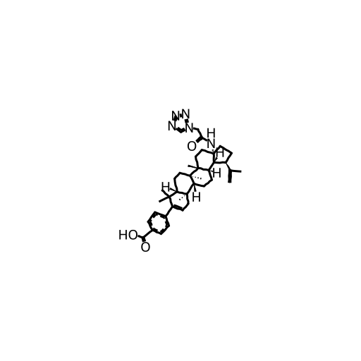 C=C(C)[C@@H]1CC[C@]2(NC(=O)Cn3cnnn3)CC[C@]3(C)[C@H](CC[C@@H]4[C@@]5(C)CC=C(c6ccc(C(=O)O)cc6)C(C)(C)[C@@H]5CC[C@]43C)[C@@H]12